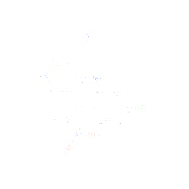 N#Cc1cnc2ccc([N+](=O)[O-])cc2c1Nc1cccc(F)c1